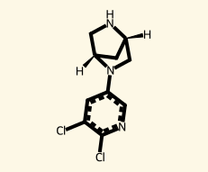 Clc1cc(N2C[C@@H]3C[C@H]2CN3)cnc1Cl